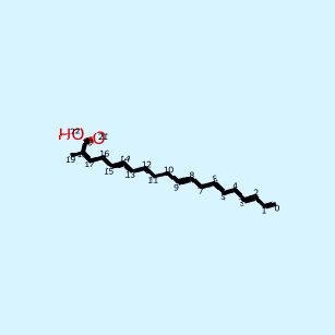 CCC=CCC=CCC=CCCCCC=CCCC(C)C(=O)O